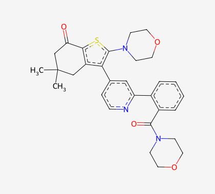 CC1(C)CC(=O)c2sc(N3CCOCC3)c(-c3ccnc(-c4ccccc4C(=O)N4CCOCC4)c3)c2C1